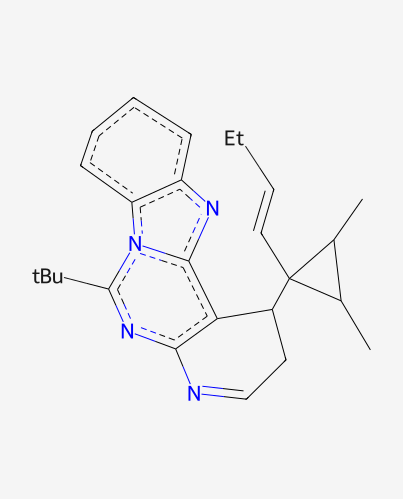 CCC=CC1(C2CC=Nc3nc(C(C)(C)C)n4c(nc5ccccc54)c32)C(C)C1C